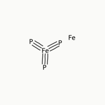 [Fe].[P]#[Fe](#[P])#[P]